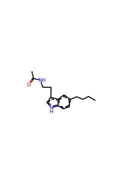 CCCCc1ccc2[nH]cc(CCNC(C)=O)c2c1